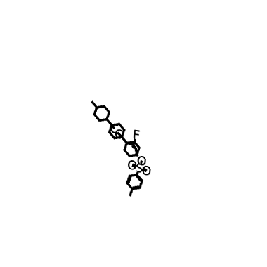 Cc1ccc(S(=O)(=O)OC23C=C(F)C(C45CCC(C6CCC(C)CC6)(CC4)CC5)(CC2)CC3)cc1